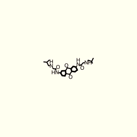 CC(C)CNCC(=O)Nc1ccc2c(c1)C(=O)c1cc(NC(=O)CNCC(C)C)ccc1C2=O